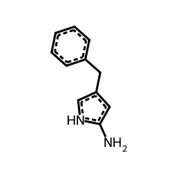 Nc1cc(Cc2ccccc2)c[nH]1